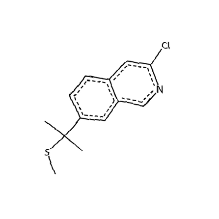 CSC(C)(C)c1ccc2cc(Cl)ncc2c1